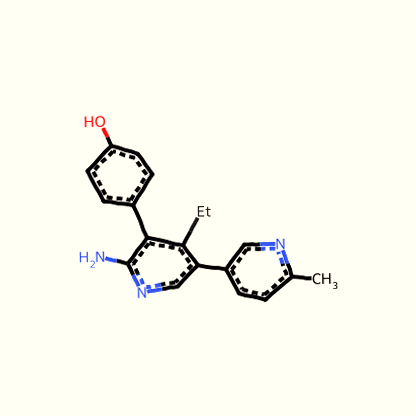 CCc1c(-c2ccc(C)nc2)cnc(N)c1-c1ccc(O)cc1